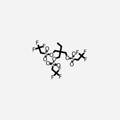 CCC(COS(=O)(=O)CC(F)(F)F)(COS(=O)(=O)CC(F)(F)F)COS(=O)(=O)CC(F)(F)F